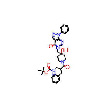 CC(C)(C)OC(=O)NC[C@H](Cc1ccccc1)C(=O)N1CCC(O)(Cn2cnc3c(cnn3-c3ccccc3)c2=O)CC1